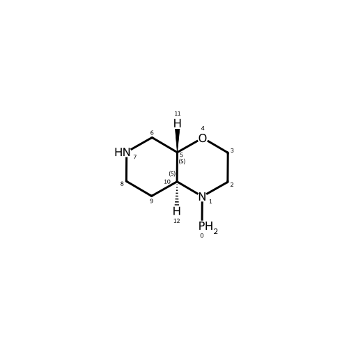 PN1CCO[C@H]2CNCC[C@@H]21